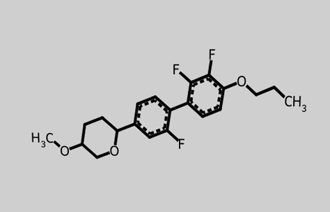 CCCOc1ccc(-c2ccc(C3CCC(OC)CO3)cc2F)c(F)c1F